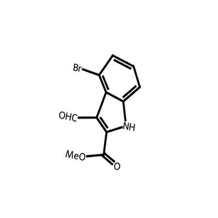 COC(=O)c1[nH]c2cccc(Br)c2c1C=O